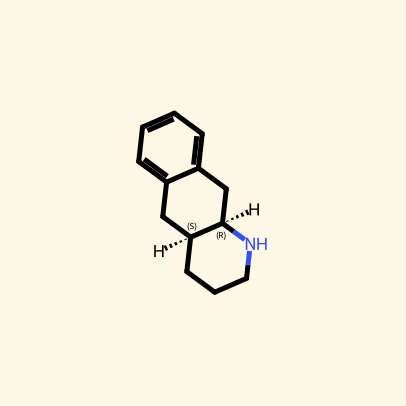 c1ccc2c(c1)C[C@@H]1CCCN[C@@H]1C2